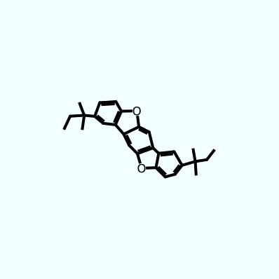 CCC(C)(C)c1ccc2oc3cc4c(cc3c2c1)oc1ccc(C(C)(C)CC)cc14